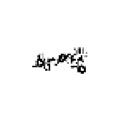 Cc1cc(Cl)c(OCCOc2ccc(CC(CN)C(=O)N(C3CC3)C(C)c3ccccc3)cc2)c(Cl)c1